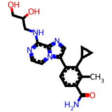 Cc1c(C(N)=O)ccc(-c2cnc3c(NCC(O)CO)nccn23)c1C1CC1